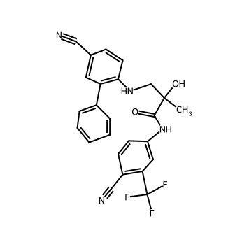 CC(O)(CNc1ccc(C#N)cc1-c1ccccc1)C(=O)Nc1ccc(C#N)c(C(F)(F)F)c1